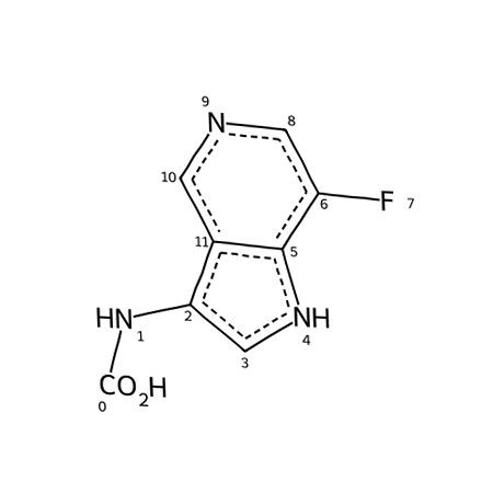 O=C(O)Nc1c[nH]c2c(F)cncc12